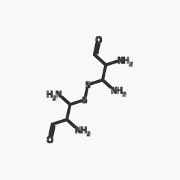 NC(C=O)C(N)SSC(N)C(N)C=O